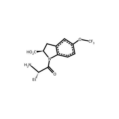 CC[C@H](N)C(=O)N1c2ccc(OC(F)(F)F)cc2C[C@@H]1C(=O)O